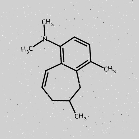 Cc1ccc(N(C)C)c2c1CC(C)CC=C2